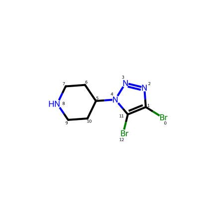 Brc1nnn(C2CCNCC2)c1Br